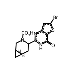 O=C(O)N1CC2C[C@@H]2CC1c1nc2cc(Br)sc2c(=O)[nH]1